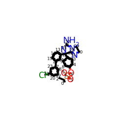 CC(C)S(=O)(=O)Oc1ccc(C2(c3cccc(-c4cccc(Cl)c4)c3)N=C(N)N3CCN=C32)cc1